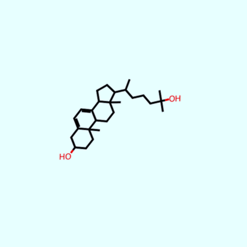 CC(CCCC(C)(C)O)C1CCC2C3=CC=C4CC(O)CCC4(C)C3CCC21C